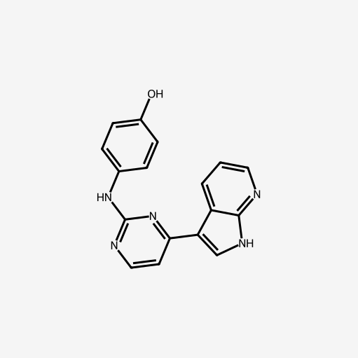 Oc1ccc(Nc2nccc(-c3c[nH]c4ncccc34)n2)cc1